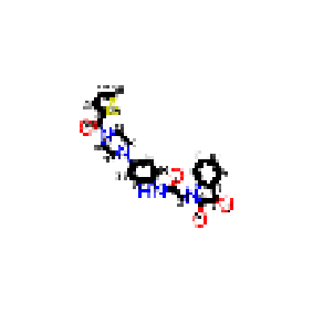 O=C(CN1C(=O)C(=O)c2ccccc21)Nc1ccc(N2CCN(C(=O)c3cccs3)CC2)cc1